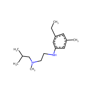 CCc1cc(C)cc(NCCN(C)CC(C)C)c1